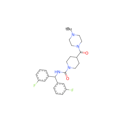 CC(C)(C)N1CCN(C(=O)C2CCN(C(=O)NC(c3cccc(F)c3)c3cccc(F)c3)CC2)CC1